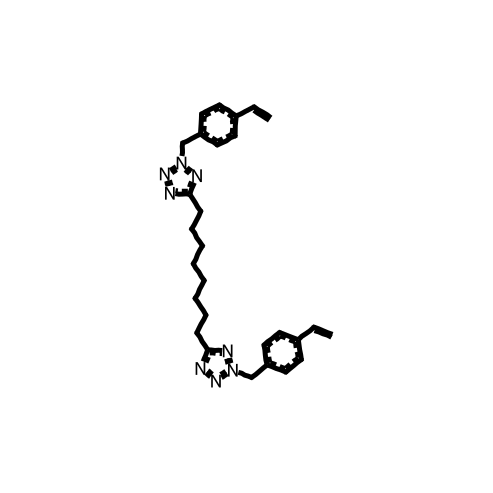 C=Cc1ccc(Cn2nnc(CCCCCCCCc3nnn(Cc4ccc(C=C)cc4)n3)n2)cc1